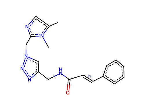 Cc1cnc(Cn2cc(CNC(=O)/C=C/c3ccccc3)nn2)n1C